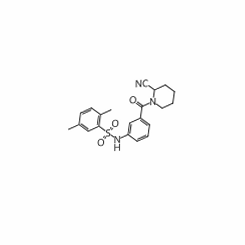 Cc1ccc(C)c(S(=O)(=O)Nc2cccc(C(=O)N3CCCCC3C#N)c2)c1